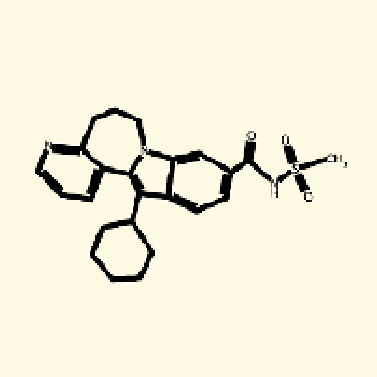 CS(=O)(=O)NC(=O)c1ccc2c(C3CCCCC3)c3n(c2c1)CCCc1ncccc1-3